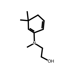 CN(CCO)C1=CC(C)(C)CC=C1